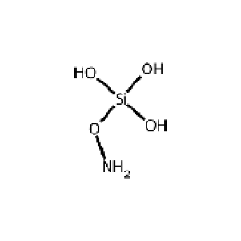 NO[Si](O)(O)O